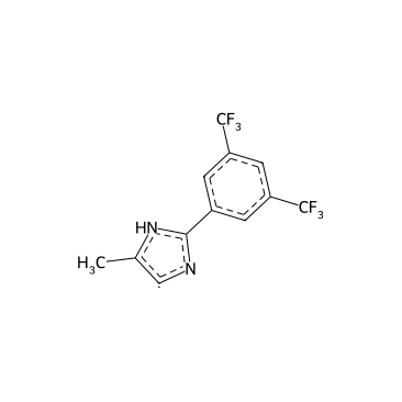 Cc1[c]nc(-c2cc(C(F)(F)F)cc(C(F)(F)F)c2)[nH]1